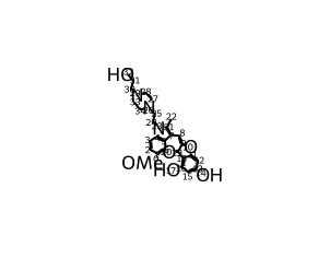 COc1ccc2c(c1)c(C=C1Oc3cc(O)cc(O)c3C1=O)c(C)n2CCN1CCN(CCO)CC1